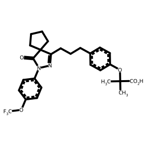 CC(C)(Oc1ccc(CCCC2=NN(c3ccc(OC(F)(F)F)cc3)C(=O)C23CCCC3)cc1)C(=O)O